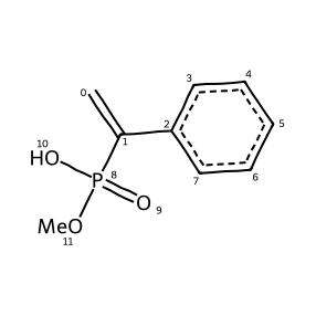 C=C(c1ccccc1)P(=O)(O)OC